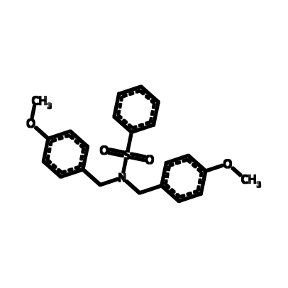 COc1ccc(CN(Cc2ccc(OC)cc2)S(=O)(=O)c2ccccc2)cc1